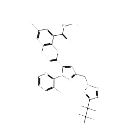 CNC(=O)c1cc(Cl)cc(C)c1NC(=O)c1cc(Cn2ncc(C(F)(F)C(F)(F)F)n2)nn1-c1ncccc1Cl